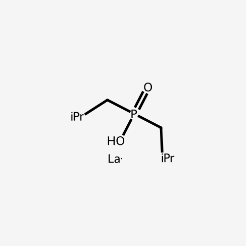 CC(C)CP(=O)(O)CC(C)C.[La]